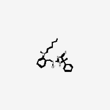 CCCCCCN(C)c1ccccc1C[S+]([O-])C1=NC(=S)C(C)(c2ccccc2)N1